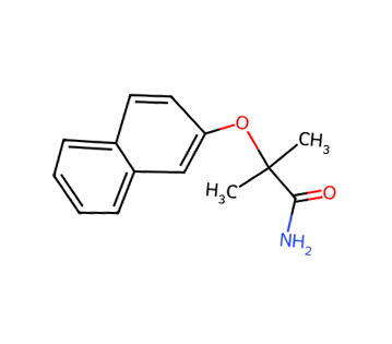 CC(C)(Oc1ccc2ccccc2c1)C(N)=O